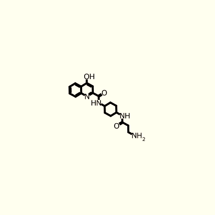 NCCC(=O)NC1CCC(NC(=O)c2cc(O)c3ccccc3n2)CC1